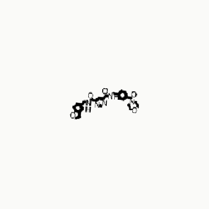 O=C(NCc1ccc(C(=O)N2CCOCC2)cc1)c1cc(C(=O)NCc2ccc3c(c2)CCO3)ncn1